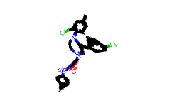 Cc1ccc(N2CCN(C(=O)Nc3ccccc3)CC2c2ccc(Cl)cc2)c(Cl)c1